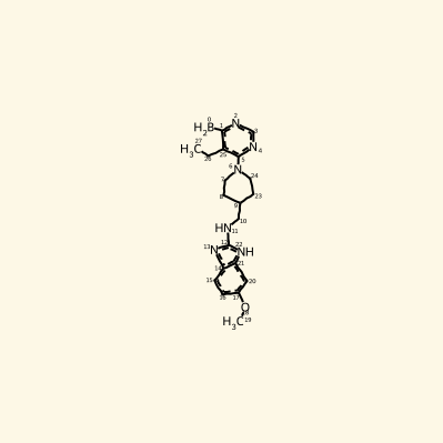 Bc1ncnc(N2CCC(CNc3nc4ccc(OC)cc4[nH]3)CC2)c1CC